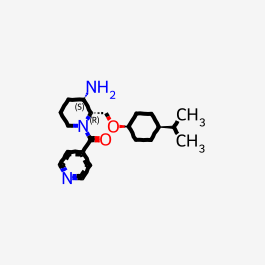 CC(C)[C@H]1CC[C@@H](OC[C@H]2[C@@H](N)CCCN2C(=O)c2ccncc2)CC1